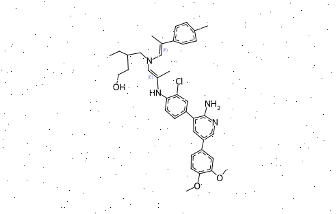 CCC(CCO)CN(/C=C(\C)Nc1ccc(-c2cc(-c3ccc(OC)c(OC)c3)cnc2N)cc1Cl)/C=C(\C)c1ccc(C)cc1